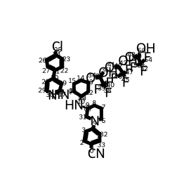 N#Cc1ccc(N2CCC[C@H](N[C@@H]3CCCC[C@H]3Nc3cc(-c4ccc(Cl)cc4)ccn3)C2)cc1.O=C(O)C(F)(F)F.O=C(O)C(F)(F)F.O=C(O)C(F)(F)F